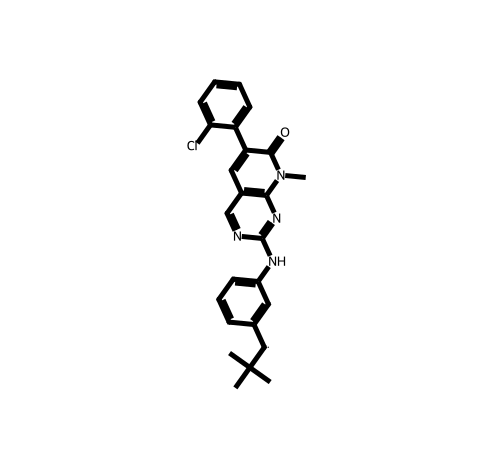 Cn1c(=O)c(-c2ccccc2Cl)cc2cnc(Nc3cccc([CH]C(C)(C)C)c3)nc21